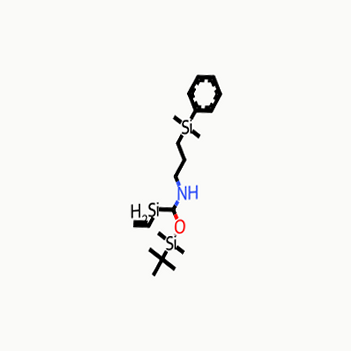 C=C[SiH2]C(NCCC[Si](C)(C)c1ccccc1)O[Si](C)(C)C(C)(C)C